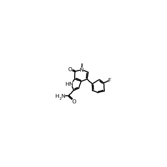 Cn1cc(-c2cccc(F)c2)c2cc(C(N)=O)[nH]c2c1=O